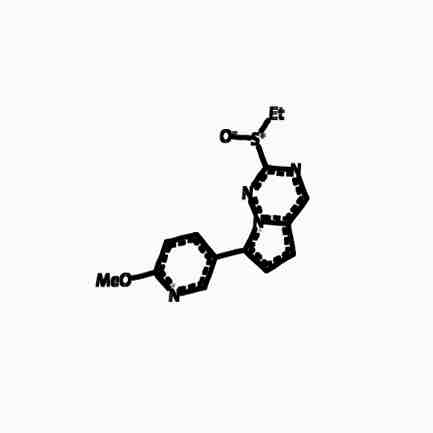 CC[S+]([O-])c1ncc2ccc(-c3ccc(OC)nc3)n2n1